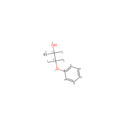 [CH2]CC(C)(O)C(C)(C)Oc1ccccc1